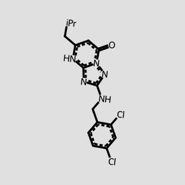 CC(C)Cc1cc(=O)n2nc(NCc3ccc(Cl)cc3Cl)nc2[nH]1